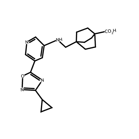 O=C(O)C12CCC(CNc3cncc(-c4nc(C5CC5)no4)c3)(CC1)CC2